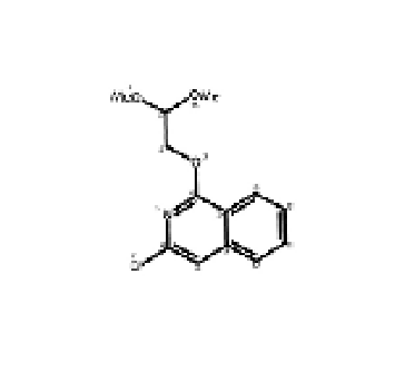 COC(COc1nc(Cl)cc2ccccc12)OC